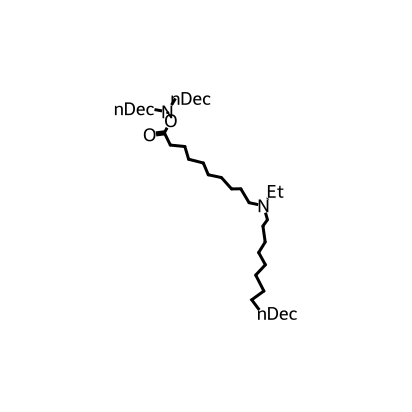 CCCCCCCCCCCCCCCCCCN(CC)CCCCCCCCCC(=O)ON(CCCCCCCCCC)CCCCCCCCCC